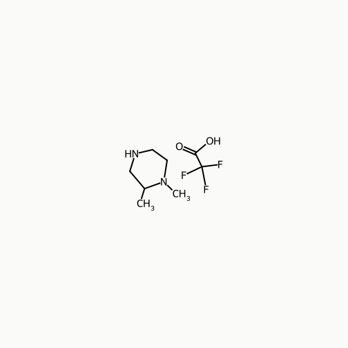 CC1CNCCN1C.O=C(O)C(F)(F)F